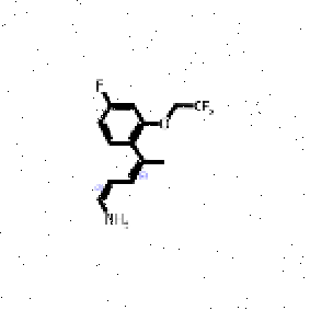 C/C(=C/C=C\N)c1ccc(F)cc1OCC(F)(F)F